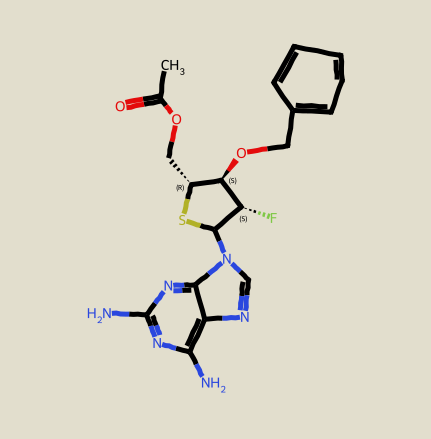 CC(=O)OC[C@H]1SC(n2cnc3c(N)nc(N)nc32)[C@@H](F)[C@@H]1OCc1ccccc1